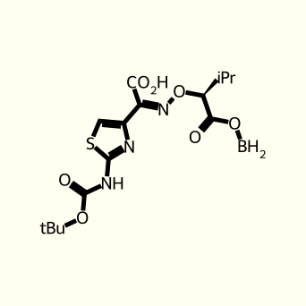 BOC(=O)[C@@H](O/N=C(\C(=O)O)c1csc(NC(=O)OC(C)(C)C)n1)C(C)C